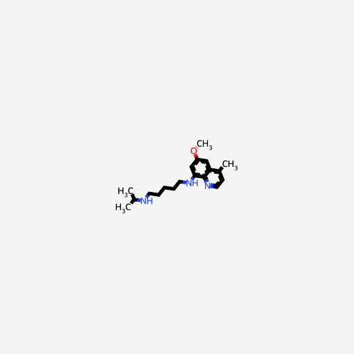 COc1cc(NCCCCCNC(C)C)c2nccc(C)c2c1